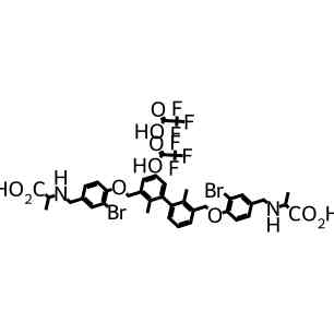 Cc1c(COc2ccc(CNC(C)C(=O)O)cc2Br)cccc1-c1cccc(COc2ccc(CNC(C)C(=O)O)cc2Br)c1C.O=C(O)C(F)(F)F.O=C(O)C(F)(F)F